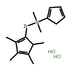 CC1=C(C)C(C)[C]([Zr][Si](C)(C)C2=CC=CC2)=C1C.Cl.Cl